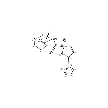 O=C(N[C@H]1CN2CCC1CC2)C1(Cl)C=CC(c2cccs2)S1